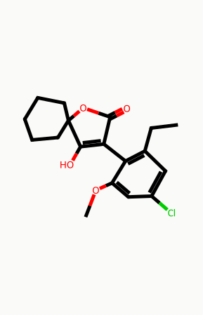 CCc1cc(Cl)cc(OC)c1C1=C(O)C2(CCCCC2)OC1=O